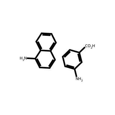 Nc1cccc(C(=O)O)c1.Nc1cccc2ccccc12